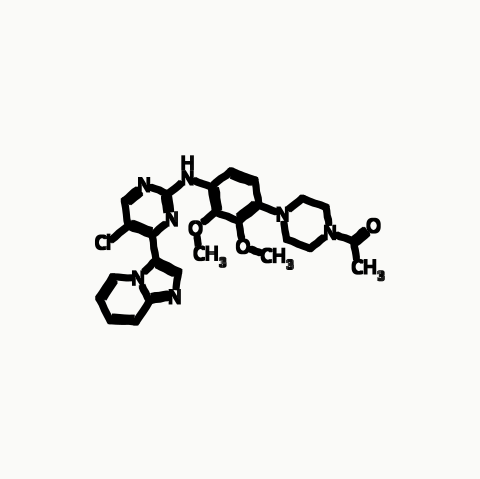 COc1c(Nc2ncc(Cl)c(-c3cnc4ccccn34)n2)ccc(N2CCN(C(C)=O)CC2)c1OC